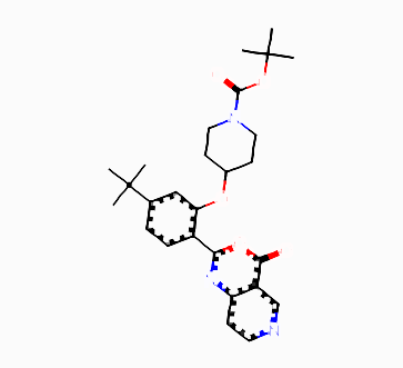 CC(C)(C)OC(=O)N1CCC(Oc2cc(C(C)(C)C)ccc2-c2nc3ccncc3c(=O)o2)CC1